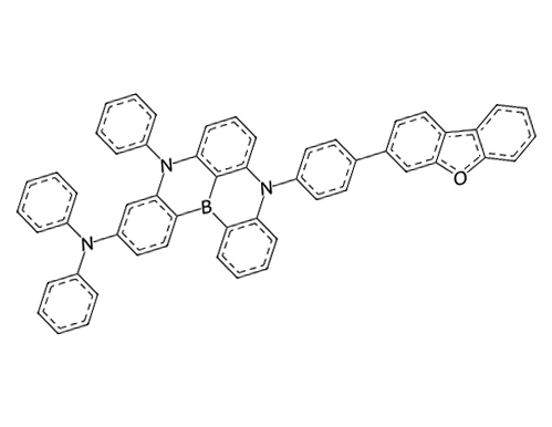 c1ccc(N(c2ccccc2)c2ccc3c(c2)N(c2ccccc2)c2cccc4c2B3c2ccccc2N4c2ccc(-c3ccc4c(c3)oc3ccccc34)cc2)cc1